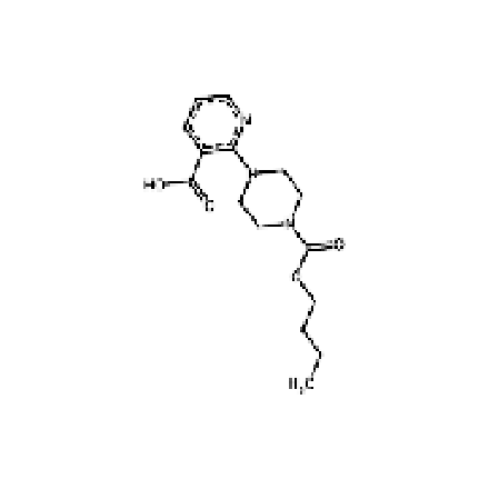 CCCCOC(=O)N1CCN(c2ncccc2C(=O)O)CC1